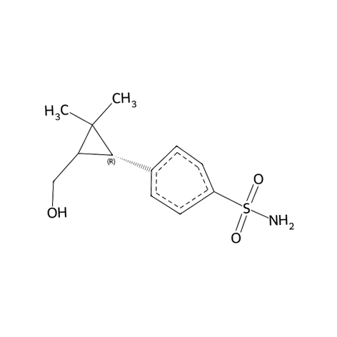 CC1(C)C(CO)[C@H]1c1ccc(S(N)(=O)=O)cc1